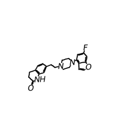 O=C1CCc2ccc(CCN3CCN(c4cc(F)cc5occc45)CC3)cc2N1